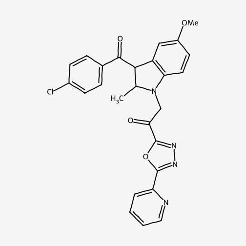 COc1ccc2c(c1)C(C(=O)c1ccc(Cl)cc1)C(C)N2CC(=O)c1nnc(-c2ccccn2)o1